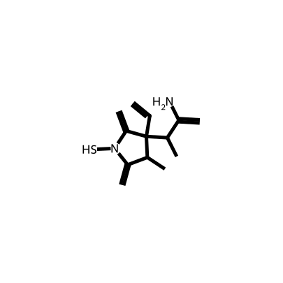 C=CC1(C(C)C(=C)N)C(=C)N(S)C(=C)C1C